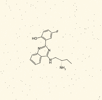 CC[C@H](N)CNc1nc(-c2cc(F)ccc2O)nc2ccccc12